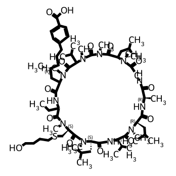 CCC1NC(=O)C(C[C@H](C)CCCc2ccc(C(=O)O)cc2)N(C)C(=O)C(C(C)C)N(C)C(=O)N(C)C(=O)C(CC(C)C)N(C)C(=O)CNC(=O)[C@@H](C)NC(=O)[C@@H](CC(C)C)N(C)C(=O)[C@@H](C(C)C)NC(=O)[C@H](CC(C)C)N(C)C(=O)[C@@H](CSCCCCO)N(C)C1=O